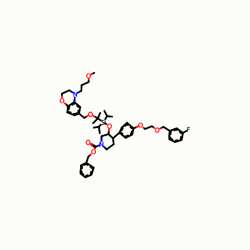 COCCCN1CCOc2ccc(COC(C)(C)[Si](OC3CN(C(=O)OCc4ccccc4)CCC3c3ccc(OCCOCc4cccc(F)c4)cc3)(C(C)C)C(C)C)cc21